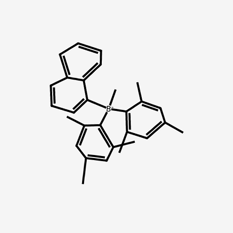 Cc1cc(C)c([B-](C)(c2c(C)cc(C)cc2C)c2cccc3ccccc23)c(C)c1